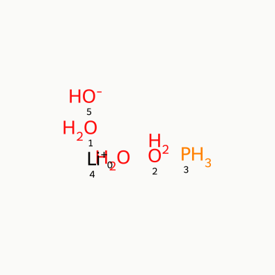 O.O.O.P.[Li+].[OH-]